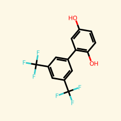 Oc1ccc(O)c(-c2cc(C(F)(F)F)cc(C(F)(F)F)c2)c1